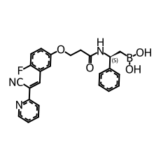 N#CC(=Cc1cc(OCCC(=O)N[C@@H](CB(O)O)c2ccccc2)ccc1F)c1ccccn1